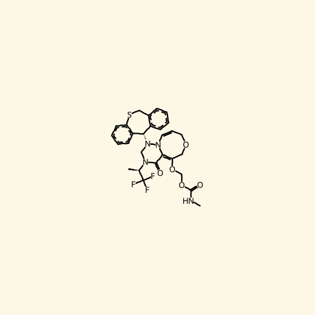 CNC(=O)OCO/C1=C2\C(=O)N([C@H](C)C(F)(F)F)CN([C@H]3c4ccccc4CSc4ccccc43)N2/C=C\COC1